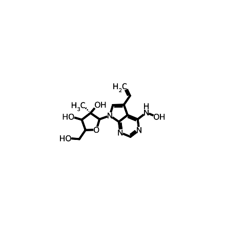 C=Cc1cn(C2OC(CO)C(O)[C@@]2(C)O)c2ncnc(NO)c12